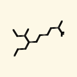 CCCC(CCCCC(C)F)C(C)CC